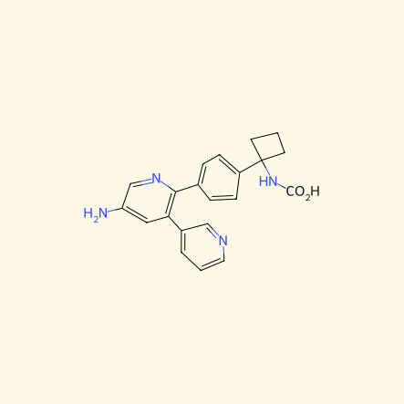 Nc1cnc(-c2ccc(C3(NC(=O)O)CCC3)cc2)c(-c2cccnc2)c1